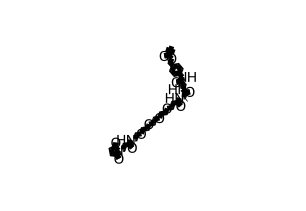 C[C@H](NC(=O)CCOCCOCCOCCOCCNC(=O)CCN1C(=O)C=CC1=O)C(=O)NCC(=O)Nc1ccc(COC(=O)C(C)(C)C)cc1